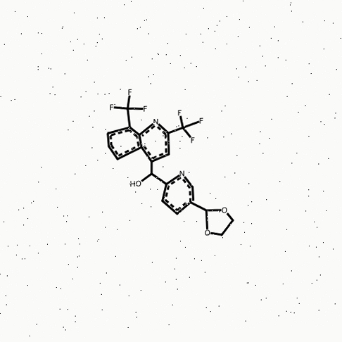 OC(c1ccc(C2OCCO2)cn1)c1cc(C(F)(F)F)nc2c(C(F)(F)F)cccc12